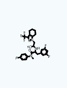 CN(C(=O)C(Cc1cc(F)cc(F)c1)NC(O)Cn1nc(C(F)(F)F)c2c1CCCC2)c1ccc(F)cc1